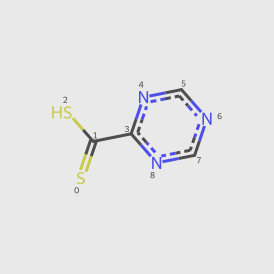 S=C(S)c1ncncn1